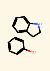 Oc1ccccc1.c1ccc2c(c1)CCN2